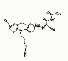 N#CCCCCC(c1ccc(Cl)cc1)c1ccc(NN=C(C#N)C(=O)NC(=O)O)cc1Cl